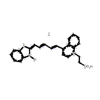 CCN1\C(=C/C=C/C=C/c2cc[n+](CCC(=O)O)c3ccccc23)Sc2ccccc21.[I-]